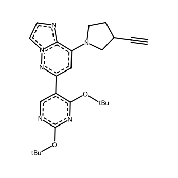 C#CC1CCN(c2cc(-c3cnc(OC(C)(C)C)nc3OC(C)(C)C)nn3ccnc23)C1